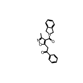 Cc1noc(CC(=O)c2ccccc2)c1C(=O)N1Cc2ccccc2C1